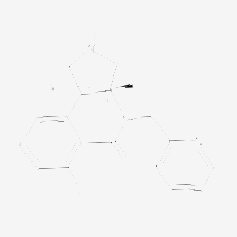 O=C1c2c(cccc2C(F)(F)F)[C@H]2CNC[C@@H]2N1Cc1ccccn1